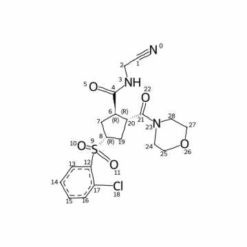 N#CCNC(=O)[C@@H]1C[C@@H](S(=O)(=O)c2ccccc2Cl)C[C@H]1C(=O)N1CCOCC1